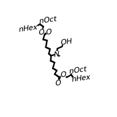 CCCCCCCCC(CCCCCC)COC(=O)CCCCCC(CCCCCC(=O)OCC(CCCCCC)CCCCCCCC)N(C)CCO